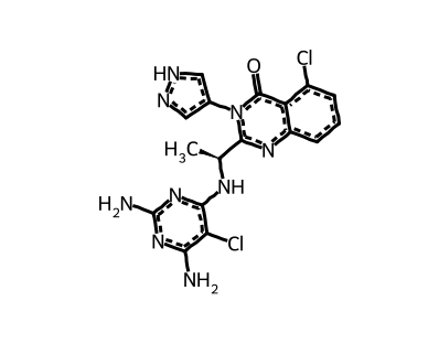 C[C@H](Nc1nc(N)nc(N)c1Cl)c1nc2cccc(Cl)c2c(=O)n1-c1cn[nH]c1